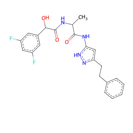 CC(NC(=O)C(O)c1cc(F)cc(F)c1)C(=O)Nc1cc(CCc2ccccc2)n[nH]1